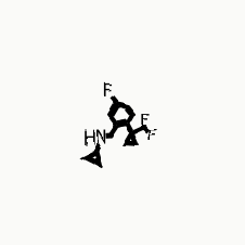 Fc1ccc(C2(C(F)F)CC2)c(CNC2CC2)c1